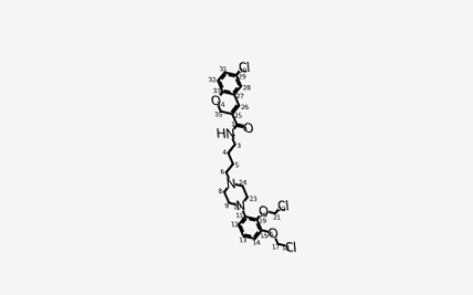 O=C(NCCCCN1CCN(c2cccc(OCCl)c2OCCl)CC1)C1=Cc2cc(Cl)ccc2OC1